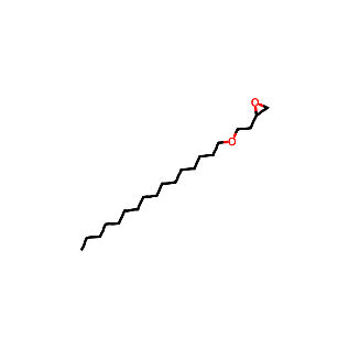 CCCCCCCCCCCCCCCCOCCC1CO1